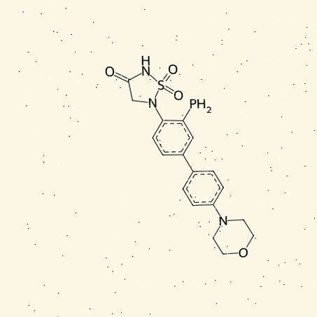 O=C1CN(c2ccc(-c3ccc(N4CCOCC4)cc3)cc2P)S(=O)(=O)N1